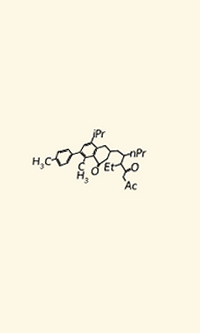 CCCC(CC1CC(=O)c2c(C)c(-c3ccc(C)cc3)cc(C(C)C)c2C1)C(CC)C(=O)CC(C)=O